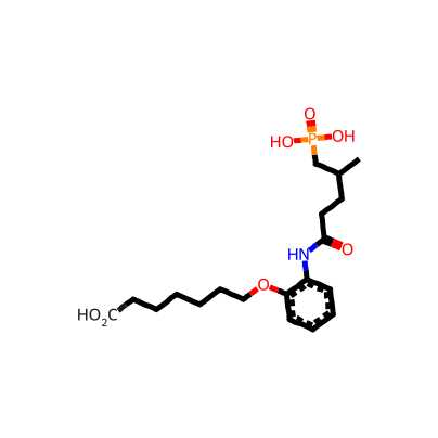 CC(CCC(=O)Nc1ccccc1OCCCCCCC(=O)O)CP(=O)(O)O